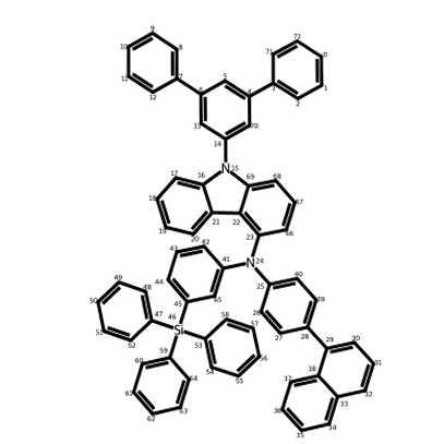 c1ccc(-c2cc(-c3ccccc3)cc(-n3c4ccccc4c4c(N(c5ccc(-c6cccc7ccccc67)cc5)c5cccc([Si](c6ccccc6)(c6ccccc6)c6ccccc6)c5)cccc43)c2)cc1